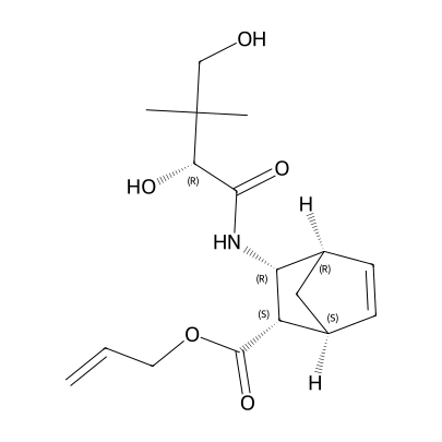 C=CCOC(=O)[C@@H]1[C@H](NC(=O)[C@H](O)C(C)(C)CO)[C@H]2C=C[C@@H]1C2